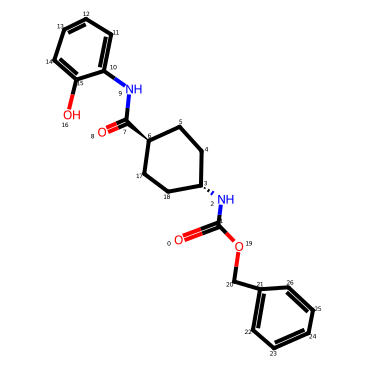 O=C(N[C@H]1CC[C@H](C(=O)Nc2ccccc2O)CC1)OCc1ccccc1